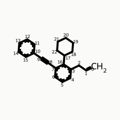 C=CCc1cccc(C#Cc2ccccc2)c1C1CCCCC1